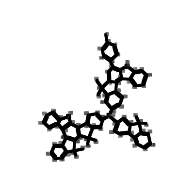 Cc1ccc(-c2cc3c(c4c2oc2ccccc24)-c2ccc(N(c4ccc5c(c4)C(C)(C)c4ccccc4-5)c4ccc5c(c4)C(C)(C)c4c6c(c7c(oc8ccccc87)c4-5)-c4ccccc4C6(C)C)cc2C3(C)C)cc1